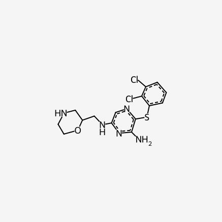 Nc1nc(NCC2CNCCO2)cnc1Sc1cccc(Cl)c1Cl